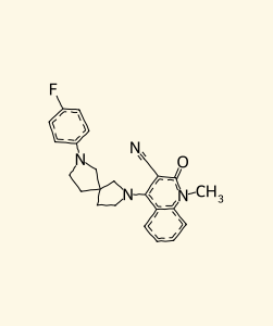 Cn1c(=O)c(C#N)c(N2CCC3(CCN(c4ccc(F)cc4)C3)C2)c2ccccc21